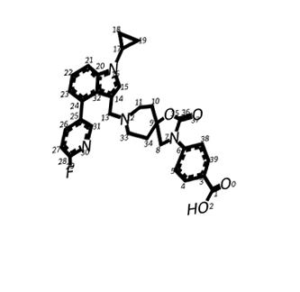 O=C(O)c1ccc(N2CC3(CCN(Cc4cn(C5CC5)c5cccc(-c6ccc(F)nc6)c45)CC3)OC2=O)cc1